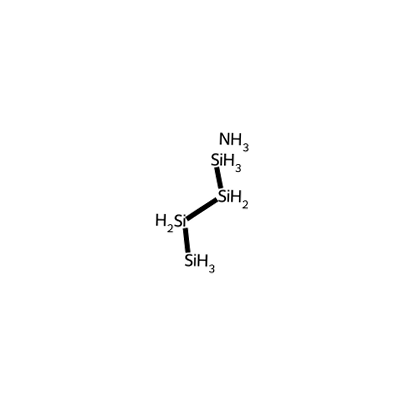 N.[SiH3][SiH2][SiH2][SiH3]